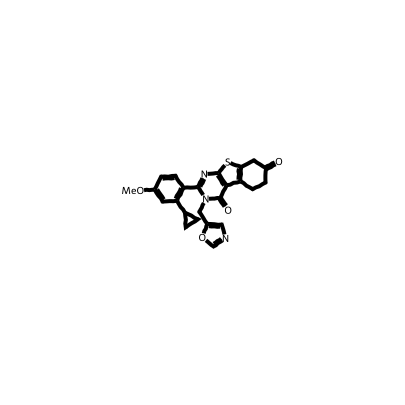 COc1ccc(-c2nc3sc4c(c3c(=O)n2Cc2cnco2)CCC(=O)C4)c(C2CC2)c1